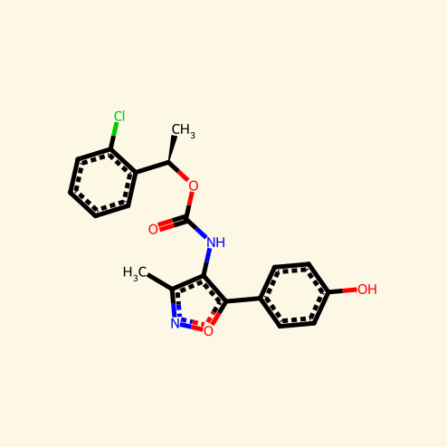 Cc1noc(-c2ccc(O)cc2)c1NC(=O)O[C@H](C)c1ccccc1Cl